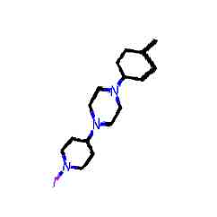 CC1CCC(N2CCN(C3CCN(I)CC3)CC2)CC1